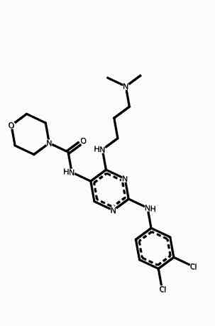 CN(C)CCCNc1nc(Nc2ccc(Cl)c(Cl)c2)ncc1NC(=O)N1CCOCC1